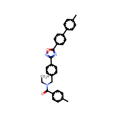 Cc1ccc(C(=O)N(CC(=O)O)Cc2ccc(-c3noc(-c4ccc(-c5ccc(C)cc5)cc4)n3)cc2)cc1